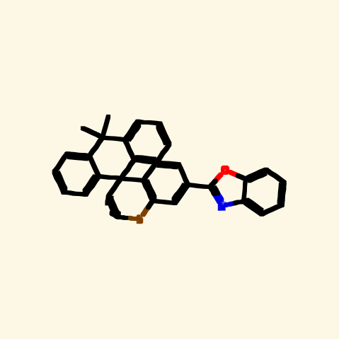 CC1(C)c2ccccc2C2(c3ccccc3Sc3cc(-c4nc5ccccc5o4)ccc32)c2ccccc21